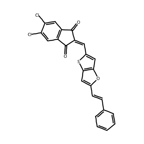 O=C1C(=Cc2cc3oc(/C=C/c4ccccc4)cc3s2)C(=O)c2cc(Cl)c(Cl)cc21